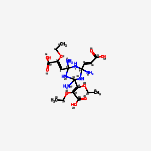 CCOC(=CC1(N)NC(N)(C=CC(=O)O)NC(N)(C(OCC)=C(OCC)C(=O)O)N1)C(=O)O